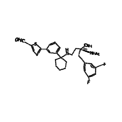 CC(=O)N[C@](O)(CCNC1(c2cccc(-c3ccc(C=O)s3)c2)CCCCC1)Cc1cc(F)cc(F)c1